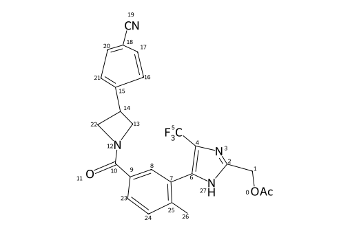 CC(=O)OCc1nc(C(F)(F)F)c(-c2cc(C(=O)N3CC(c4ccc(C#N)cc4)C3)ccc2C)[nH]1